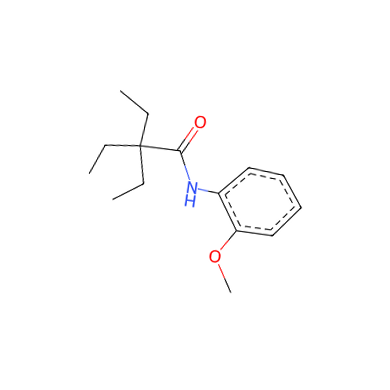 CCC(CC)(CC)C(=O)Nc1ccccc1OC